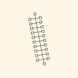 [O]C(Cl)(C(Cl)(Cl)Cl)C(Cl)(Cl)C(Cl)(Cl)C(Cl)(Cl)C(Cl)(Cl)C(Cl)(Cl)C(Cl)(Cl)C(Cl)(Cl)C(Cl)(Cl)Cl